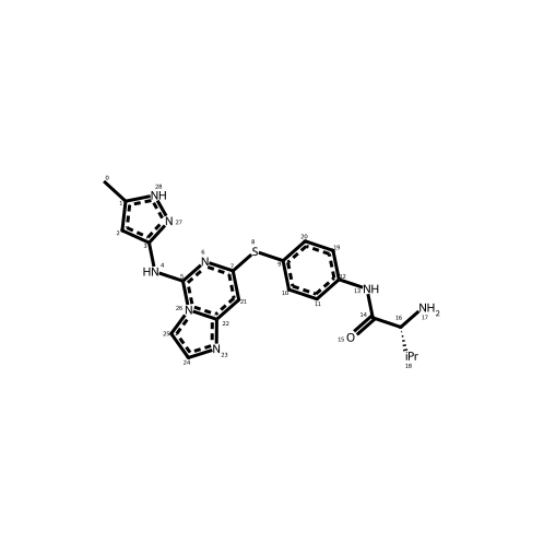 Cc1cc(Nc2nc(Sc3ccc(NC(=O)[C@H](N)C(C)C)cc3)cc3nccn23)n[nH]1